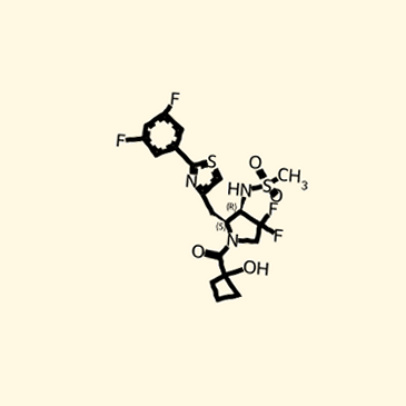 CS(=O)(=O)N[C@@H]1[C@H](Cc2csc(-c3cc(F)cc(F)c3)n2)N(C(=O)C2(O)CCC2)CC1(F)F